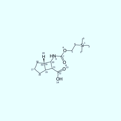 C[Si](C)(C)CCOC(=O)NC1C(C(=O)O)C2CCC[C@@H]21